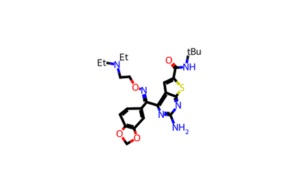 CCN(CC)CCON=C(c1ccc2c(c1)OCO2)c1nc(N)nc2sc(C(=O)NC(C)(C)C)cc12